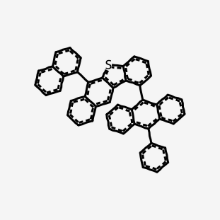 c1ccc(-c2c3ccccc3c(-c3cccc4sc5c(-c6cccc7ccccc67)c6ccccc6cc5c34)c3ccccc23)cc1